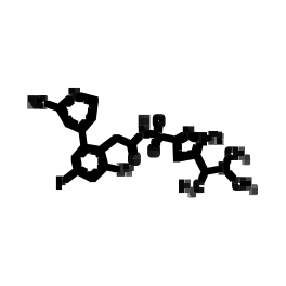 CCn1nc(S(=O)(=O)NC(=O)Cc2c(-c3ccnc(C#N)c3)cc(F)cc2C(C)C)cc1C(C)N(C)C